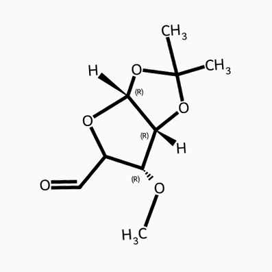 CO[C@@H]1C(C=O)O[C@@H]2OC(C)(C)O[C@@H]21